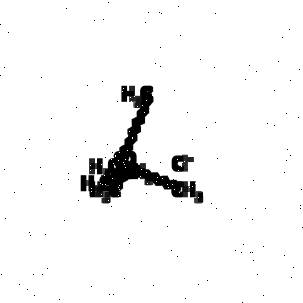 CCCCCCCCCCCCCCOC(C)(C(=O)CCCCCCCCCCC)[N+](C)(CCCC)CCCC.[Cl-]